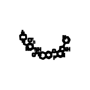 CN1CCN(Cc2ncc(NC(=O)N3CCc4ccc(Oc5c(F)cnc6[nH]c(-c7cccnc7)cc56)cc4C3)cc2C(F)(F)F)CC1